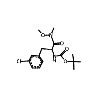 CON(C)C(=O)[C@H](Cc1cccc(Cl)c1)NC(=O)OC(C)(C)C